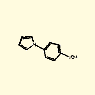 CCCCc1ccc(-n2cccc2)cc1